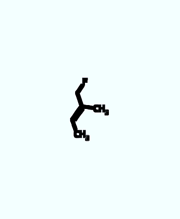 C/C=C(\C)CF